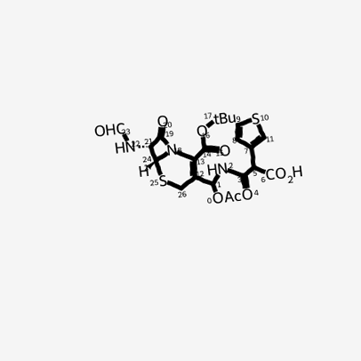 CC(=O)OC(NC(=O)C(C(=O)O)c1ccsc1)C1=C(C(=O)OC(C)(C)C)N2C(=O)[C@@H](NC=O)[C@H]2SC1